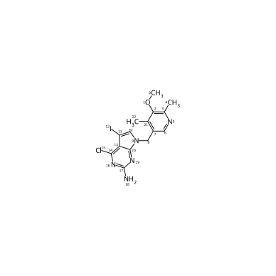 COc1c(C)ncc(Cn2cc(I)c3c(Cl)nc(N)nc32)c1C